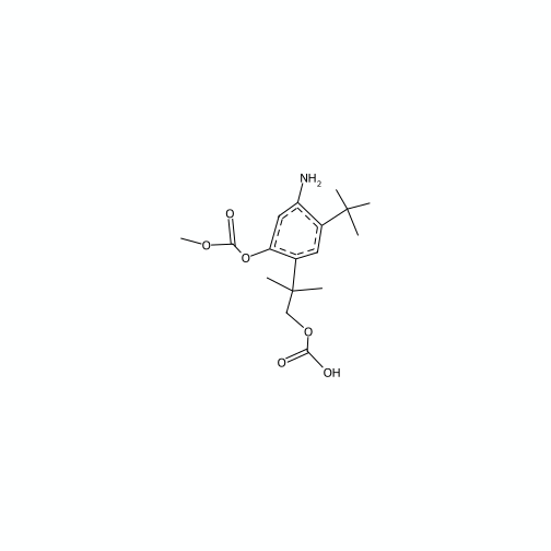 COC(=O)Oc1cc(N)c(C(C)(C)C)cc1C(C)(C)COC(=O)O